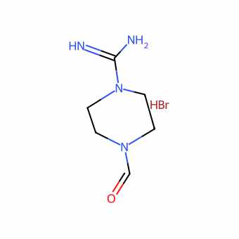 Br.N=C(N)N1CCN(C=O)CC1